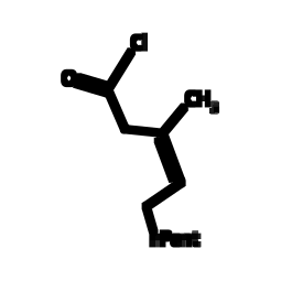 CCCCCCC=C(C)CC(=O)Cl